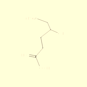 C=C(CCC(C)CCCCCC)C(=O)O